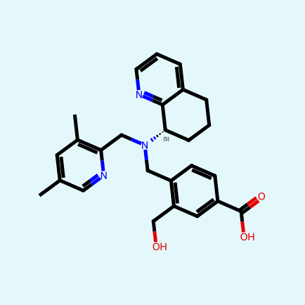 Cc1cnc(CN(Cc2ccc(C(=O)O)cc2CO)[C@H]2CCCc3cccnc32)c(C)c1